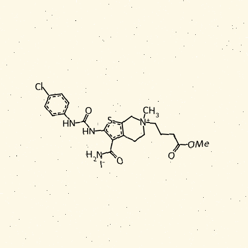 COC(=O)CCC[N+]1(C)CCc2c(sc(NC(=O)Nc3ccc(Cl)cc3)c2C(N)=O)C1.[I-]